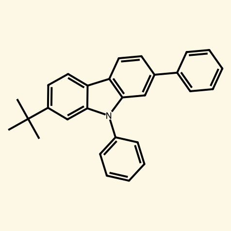 CC(C)(C)c1ccc2c3ccc(-c4ccccc4)cc3n(-c3ccccc3)c2c1